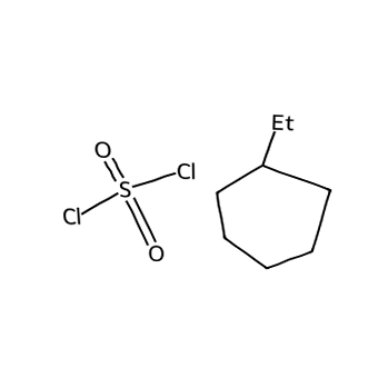 CCC1CCCCC1.O=S(=O)(Cl)Cl